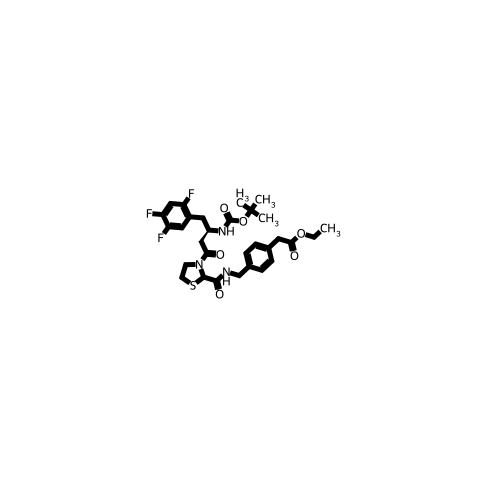 CCOC(=O)Cc1ccc(CNC(=O)C2SCCN2C(=O)C[C@@H](Cc2cc(F)c(F)cc2F)NC(=O)OC(C)(C)C)cc1